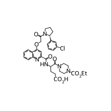 CCOC(=O)N1CCN(C(=O)C(CCC(=O)O)NC(=O)c2cc(OCC(=O)N3CCC[C@H]3c3cccc(Cl)c3)c3ccccc3n2)CC1